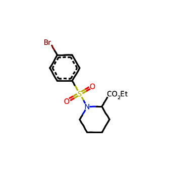 CCOC(=O)C1CCCCN1S(=O)(=O)c1ccc(Br)cc1